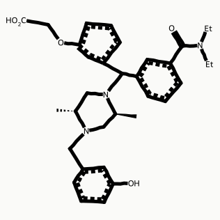 CCN(CC)C(=O)c1cccc(C(c2cccc(OCC(=O)O)c2)N2C[C@@H](C)N(Cc3cccc(O)c3)C[C@@H]2C)c1